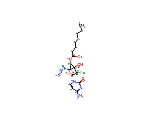 CCCCCCCC(=O)OC1C2(N=[N+]=[N-])O[C@@H](n3ccc(N)nc3=O)[C@H](F)[C@@]12O